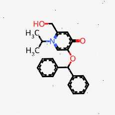 CC(C)n1cc(OC(c2ccccc2)c2ccccc2)c(=O)cc1CO